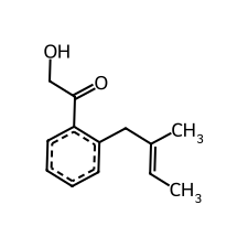 CC=C(C)Cc1ccccc1C(=O)CO